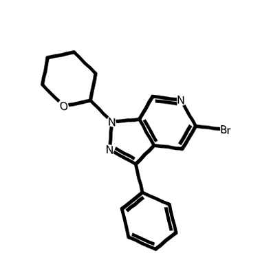 Brc1cc2c(-c3ccccc3)nn(C3CCCCO3)c2cn1